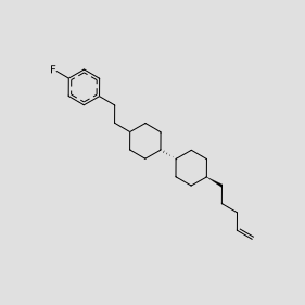 C=CCCC[C@H]1CC[C@H](C2CCC(CCc3ccc(F)cc3)CC2)CC1